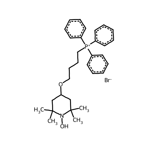 CC1(C)CC(OCCCC[P+](c2ccccc2)(c2ccccc2)c2ccccc2)CC(C)(C)N1O.[Br-]